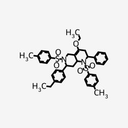 CCOC1=C2CN(S(=O)(=O)c3ccc(C)cc3)C(c3ccc(CC)cc3)CC2N(S(=O)(=O)c2ccc(C)cc2)C(c2ccccc2)C1